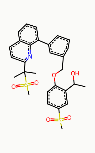 CC(O)c1cc(S(C)(=O)=O)ccc1OCc1cccc(-c2cccc3ccc(C(C)(C)S(C)(=O)=O)nc23)c1